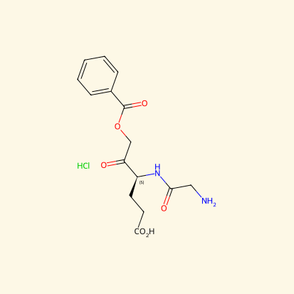 Cl.NCC(=O)N[C@@H](CCC(=O)O)C(=O)COC(=O)c1ccccc1